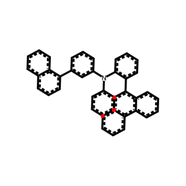 c1ccc(N(c2cccc(-c3cccc4ccccc34)c2)c2ccccc2-c2cc3ccccc3c3ccccc23)cc1